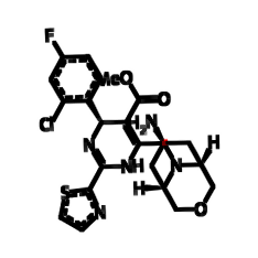 COC(=O)C1=C(CN2[C@@H]3COC[C@H]2C[C@H](N)C3)NC(c2nccs2)=N[C@H]1c1ccc(F)cc1Cl